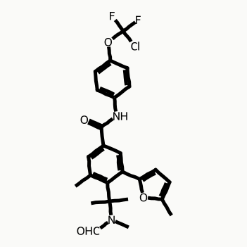 Cc1ccc(-c2cc(C(=O)Nc3ccc(OC(F)(F)Cl)cc3)cc(C)c2C(C)(C)N(C)C=O)o1